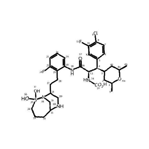 CC1CC([C@H](c2ccc(Cl)c(F)c2)[C@@H](NC(=O)O)C(=O)Nc2cccc(F)c2CCC2CNC3CCCS(O)(O)N2C3)CC(C)O1